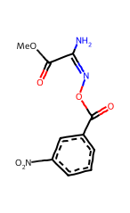 COC(=O)/C(N)=N\OC(=O)c1cccc([N+](=O)[O-])c1